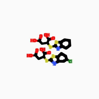 O=C(O)CC(Sc1nc2cc(Cl)ccc2s1)C(=O)O.O=C(O)CC(Sc1nc2ccccc2s1)C(=O)O